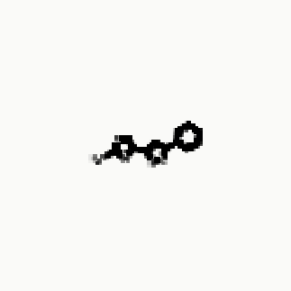 Nc1nc(-c2cc(-c3ccccc3)on2)cs1